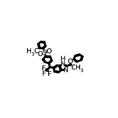 Cc1ccccc1S(=O)(=O)c1ccc(C(c2ccc3nc(C(C)Oc4ccccc4)[nH]c3c2)C(F)(F)F)cc1